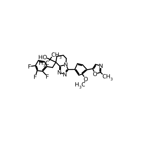 COc1cc(-c2nnc3n2CCCC3(Cc2ccc(F)c(F)c2F)C(C)(C)O)ccc1-c1cnc(C)o1